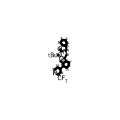 CC(C)(C)OC(=O)N(Cc1ccccc1)CC1OCc2c(-c3ccnc(C(F)(F)F)c3)cccc21